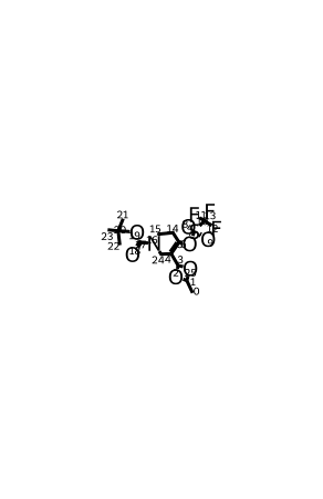 CC1OC(C2=C(OS(=O)(=O)C(F)(F)F)CCN(C(=O)OC(C)(C)C)C2)O1